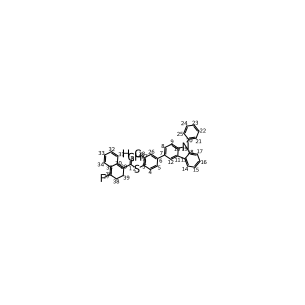 C=C(Sc1ccc(-c2ccc3c(c2)c2ccccc2n3-c2ccccc2)cc1C)C1=c2ccccc2=C(F)CC1